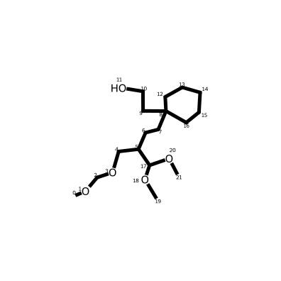 COCOCC(CCC1(CCO)CCCCC1)C(OC)OC